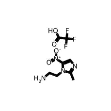 Cc1ncc([N+](=O)[O-])n1CCN.O=C(O)C(F)(F)F